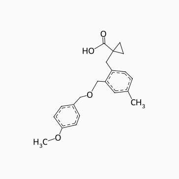 COc1ccc(COCc2cc(C)ccc2CC2(C(=O)O)CC2)cc1